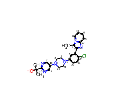 Cc1c(-c2cc(N3CCN(c4cnc(C(C)(C)O)nc4)CC3)ccc2Cl)nc2ccccn12